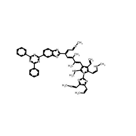 C=Cc1c(/C=C(C)/C(C)=C/C(=C\C=B/C)c2nc3ccc(-c4nc(-c5ccccc5)nc(-c5ccccc5)n4)cc3o2)c(BC)n(-c2nc(/C=C\C)c(/C=B\C)o2)c1/C=C\BC